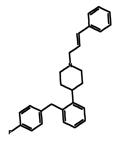 Fc1ccc(Cc2ccccc2C2CCN(CC=Cc3ccccc3)CC2)cc1